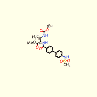 COC(=O)[C@@H](NC(=O)c1ccc(-c2ccc(NS(C)(=O)=O)cc2)cc1)[C@@H](C)NC(=O)OC(C)(C)C